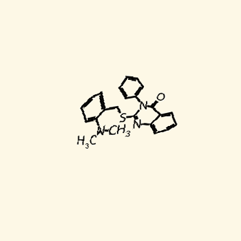 CN(C)c1ccccc1CSc1nc2ccccc2c(=O)n1-c1ccccc1